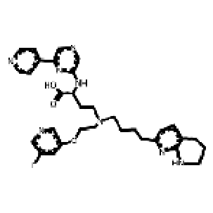 O=C(O)C(CCN(CCCCc1ccc2c(n1)NCCC2)CCOc1cncc(F)c1)Nc1cncc(-c2ccncc2)n1